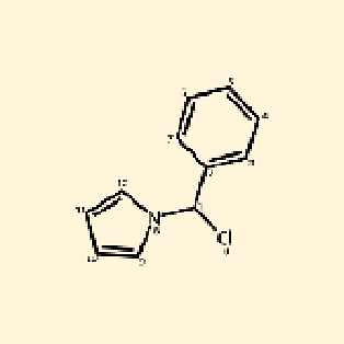 ClC(c1ccccc1)n1cccc1